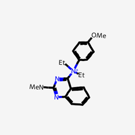 CC[N+](CC)(c1ccc(OC)cc1)c1nc(NC)nc2ccccc12